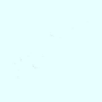 Cc1ccccc1OCC(=O)Nc1ccc(-c2ncc3ccccc3n2)cc1